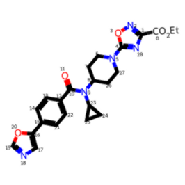 CCOC(=O)c1noc(N2CCC(N(C(=O)c3ccc(-c4cnco4)cc3)C3CC3)CC2)n1